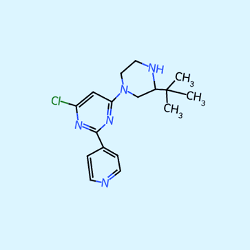 CC(C)(C)C1CN(c2cc(Cl)nc(-c3ccncc3)n2)CCN1